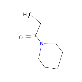 CCC(=O)N1CC[CH]CC1